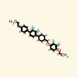 C/C=C/c1ccc(-c2ccc(C3CCC(COc4ccc(OCC)c(F)c4F)CC3)c(F)c2F)cc1